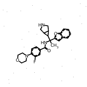 CC(NC(=O)c1ccc(N2CCOCC2)c(F)c1)(c1cc2ccccc2o1)C1C2CNCC21